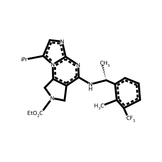 CCOC(=O)N1Cc2c(N[C@H](C)c3cccc(C(F)(F)F)c3C)nc3ncc(C(C)C)n3c2C1